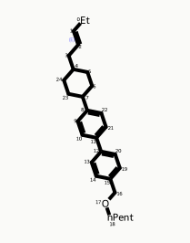 CC/C=C/CC1CCC(c2ccc(-c3ccc(COCCCCC)cc3)cc2)CC1